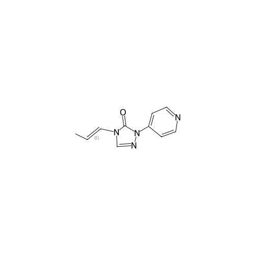 C/C=C/n1cnn(-c2ccncc2)c1=O